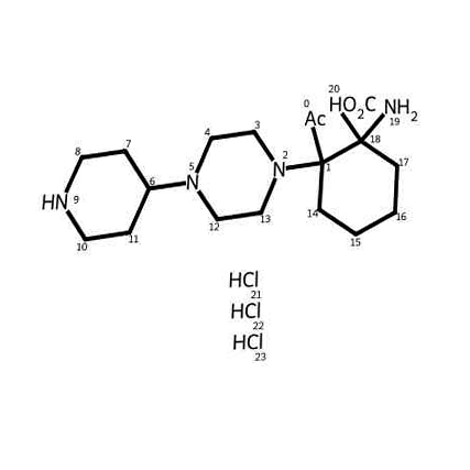 CC(=O)C1(N2CCN(C3CCNCC3)CC2)CCCCC1(N)C(=O)O.Cl.Cl.Cl